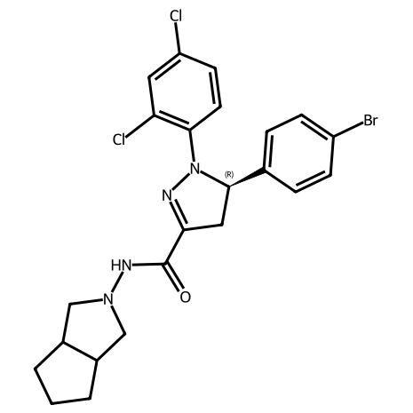 O=C(NN1CC2CCCC2C1)C1=NN(c2ccc(Cl)cc2Cl)[C@@H](c2ccc(Br)cc2)C1